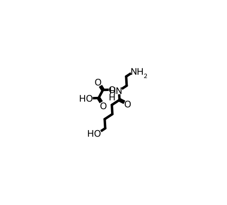 NCCNC(=O)CCCCO.O=C(O)C(=O)O